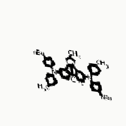 CCCCc1ccc(N(c2ccc(C)cc2)c2ccc3c(c2)[C@]24CC(C)C[C@]2(CC(C)C4)c2cc(N(c4ccc(C)cc4)c4ccc(CCCC)cc4)ccc2-3)cc1